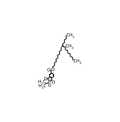 C=C(C)C(=O)N1C(=O)c2ccc(C(=O)OCCCCCCCCCCC[C@@H](CCCCCC)C(C)CCCCCCCC)cc2C1=O